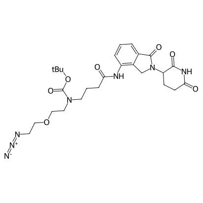 CC(C)(C)OC(=O)N(CCCC(=O)Nc1cccc2c1CN(C1CCC(=O)NC1=O)C2=O)CCOCCN=[N+]=[N-]